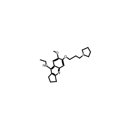 CCNc1c2c(nc3cc(OCCCN4CCCC4)c(OC)cc13)CCC2